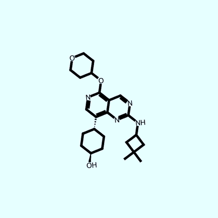 CC1(C)CC(Nc2ncc3c(OC4CCOCC4)ncc([C@H]4CC[C@H](O)CC4)c3n2)C1